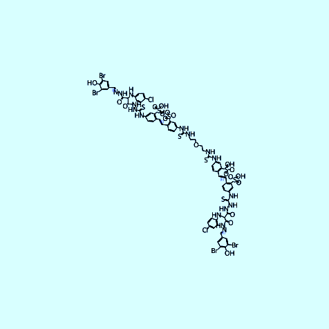 O=C(N/N=C/c1cc(Br)c(O)c(Br)c1)C(Nc1ccc(Cl)cc1)C(=O)NNC(=S)Nc1ccc(/C=C/c2ccc(NC(=S)NCCOCCNC(=S)Nc3ccc(/C=C/c4ccc(NC(=S)NNC(=O)C(Nc5ccc(Cl)cc5)C(=O)N/N=C/c5cc(Br)c(O)c(Br)c5)cc4S(=O)(=O)O)c(S(=O)(=O)O)c3)cc2S(=O)(=O)O)c(S(=O)(=O)O)c1